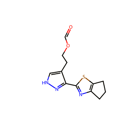 O=COCCc1c[nH]nc1-c1nc2c(s1)CCC2